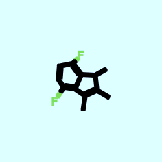 CC1=C(C)C(C)c2c(F)ccc(F)c21